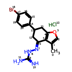 Cc1coc2c1C(=NNC(=N)N)CC(c1ccc(Br)cc1)C2.Cl